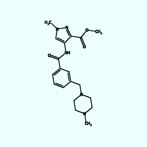 COC(=O)c1nn(C)cc1NC(=O)c1cccc(CN2CCN(C)CC2)c1